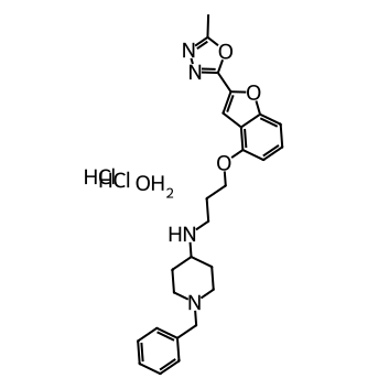 Cc1nnc(-c2cc3c(OCCCNC4CCN(Cc5ccccc5)CC4)cccc3o2)o1.Cl.Cl.O